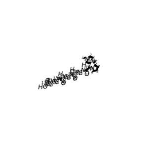 CN1CC[15N]([13CH2]C2CCC[15N]2CC(=O)N[13CH2][13CH2][13C](=O)N[13CH2][13CH2][13C](=O)[15NH][13CH2][13CH2][13CH2][13C](=O)O)CC1